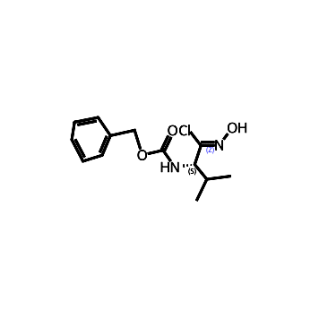 CC(C)[C@H](NC(=O)OCc1ccccc1)/C(Cl)=N/O